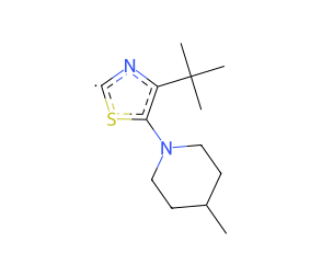 CC1CCN(c2s[c]nc2C(C)(C)C)CC1